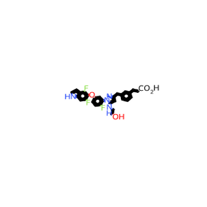 O=C(O)CCc1cccc(Cc2cc(NCCO)n(-c3cc(Oc4c(F)cc5[nH]ccc5c4F)ccc3F)n2)c1